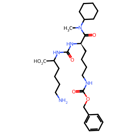 CN(C(=O)[C@@H](CCCCNC(=O)OCc1ccccc1)NC(=O)NC(CCCCN)C(=O)O)C1CCCCC1